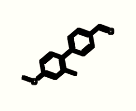 COc1ccc(-c2ccc(C=O)cc2)c(C)c1